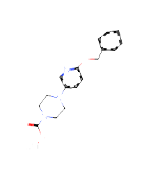 CC(C)(C)OC(=O)N1CCN(c2ccc(OCc3ccccc3)nc2)CC1